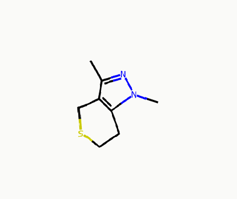 Cc1nn(C)c2c1CSCC2